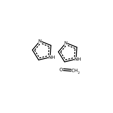 C=O.c1c[nH]cn1.c1c[nH]cn1